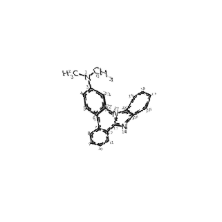 CN(C)c1ccc2c3ccccc3c3nc4ccccc4n3c2c1